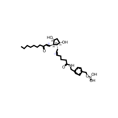 CCCCCCCC(=O)/C=C/[C@@H]1[C@@H](C/C=C\CCCC(=O)NCc2ccc(CON(O)O)cc2)[C@@H](O)C[C@H]1O